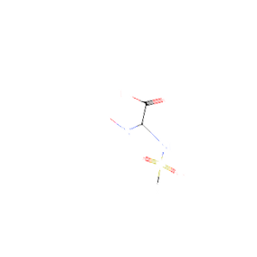 CS(=O)(=O)NC(NO)C(=O)O